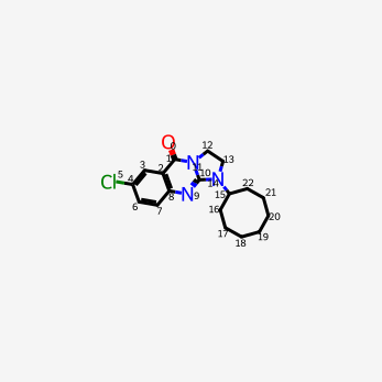 O=c1c2cc(Cl)ccc2nc2n1CCN2C1CCCCCCC1